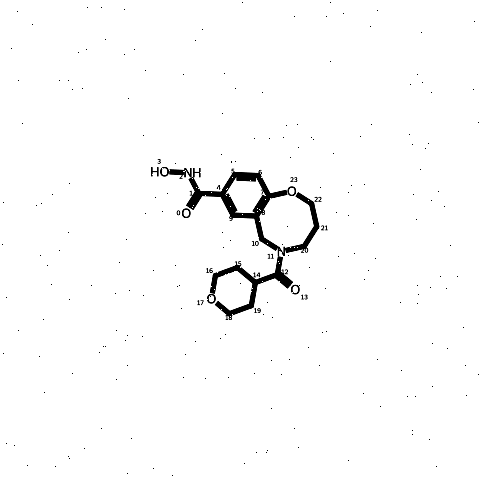 O=C(NO)c1ccc2c(c1)CN(C(=O)C1CCOCC1)CCCO2